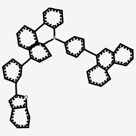 c1ccc(-c2ccccc2N(c2ccc(-c3cccc(-c4cc5ccccc5o4)c3)cc2)c2ccc(-c3cc4ccccc4c4ccccc34)cc2)cc1